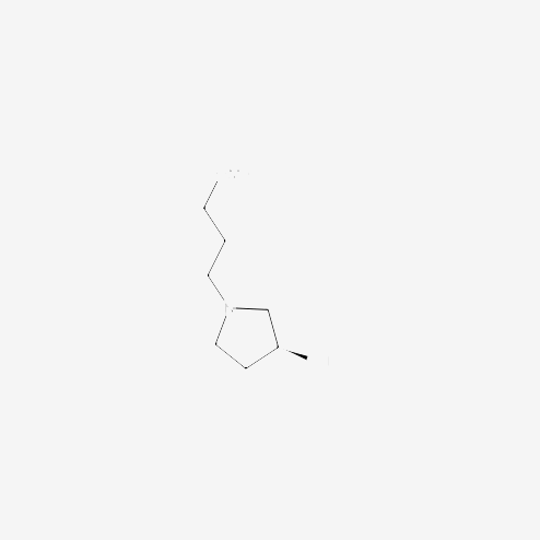 COCCCN1CC[C@H](C)C1